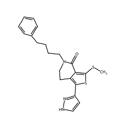 CSc1sc(-c2cc[nH]n2)c2c1C(=O)N(CCCCc1ccccc1)CC2